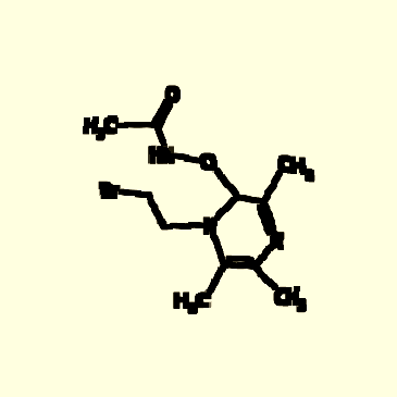 CC(=O)NOC1C(C)=NC(C)=C(C)N1CCBr